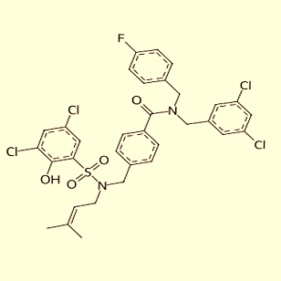 CC(C)=CCN(Cc1ccc(C(=O)N(Cc2ccc(F)cc2)Cc2cc(Cl)cc(Cl)c2)cc1)S(=O)(=O)c1cc(Cl)cc(Cl)c1O